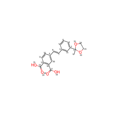 CC1(c2cccc(C=Cc3ccc(C(=O)O)c(C(=O)O)c3)c2)OCCO1